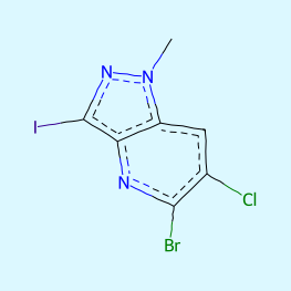 Cn1nc(I)c2nc(Br)c(Cl)cc21